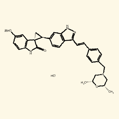 COc1ccc2c(c1)[C@]1(C[C@H]1c1ccc3c(/C=C/c4ccc(CN5C[C@@H](C)O[C@@H](C)C5)cc4)n[nH]c3c1)C(=O)N2.Cl